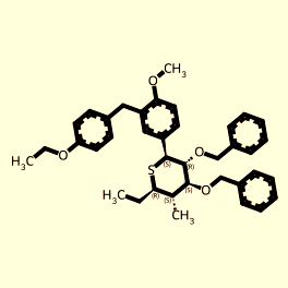 CCOc1ccc(Cc2cc([C@@H]3S[C@H](CC)[C@@H](C)[C@H](OCc4ccccc4)[C@H]3OCc3ccccc3)ccc2OC)cc1